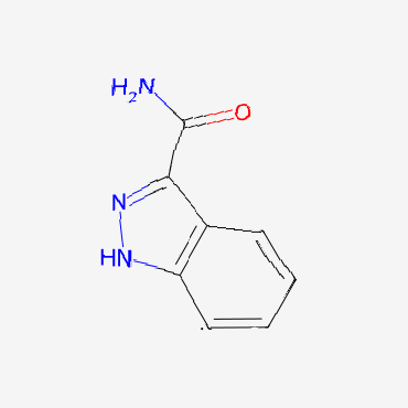 NC(=O)c1n[nH]c2[c]cccc12